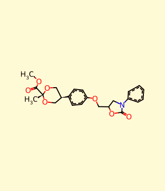 COC(=O)[C@]1(C)OC[C@@H](c2ccc(OCC3CN(c4ccccc4)C(=O)O3)cc2)CO1